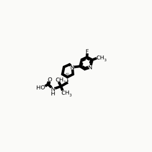 Cc1ncc(N2CCC[C@@H](CC(C)(C)NC(=O)O)C2)cc1F